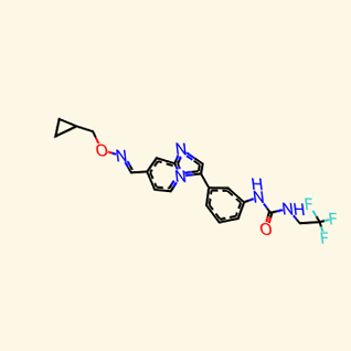 O=C(NCC(F)(F)F)Nc1cccc(-c2cnc3cc(C=NOCC4CC4)ccn23)c1